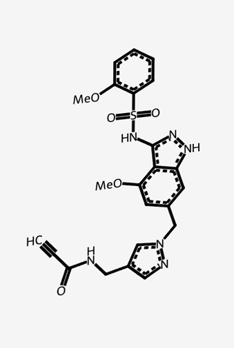 C#CC(=O)NCc1cnn(Cc2cc(OC)c3c(NS(=O)(=O)c4ccccc4OC)n[nH]c3c2)c1